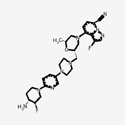 C[C@@H]1CN(c2ccc(C#N)n3ncc(F)c23)C[C@H](CN2CCN(c3ccc(N4CC[C@@H](N)[C@H](F)C4)nc3)CC2)O1